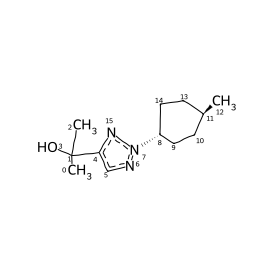 CC(C)(O)c1cnn([C@H]2CC[C@H](C)CC2)n1